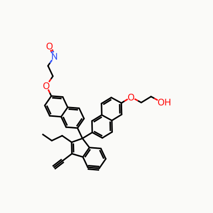 C#CC1=C(CCC)C(c2ccc3cc(OCCO)ccc3c2)(c2ccc3cc(OCCN=O)ccc3c2)c2ccc#cc21